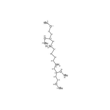 CC(C)(C)OCCC(C[SiH2]CCCC[SiH2]CC(CCOC(C)(C)C)OC(C)(C)C)OC(C)(C)C